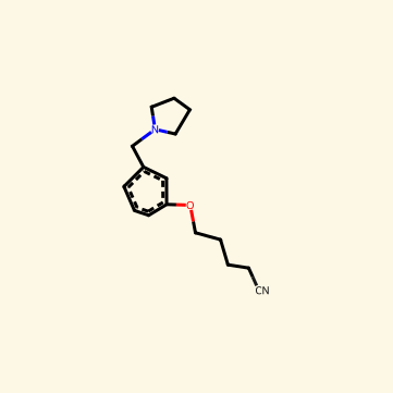 N#CCCCCOc1cccc(CN2CCCC2)c1